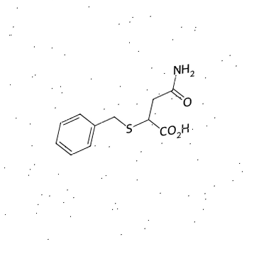 NC(=O)CC(SCc1ccccc1)C(=O)O